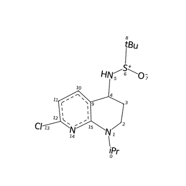 CC(C)N1CCC(N[S+]([O-])C(C)(C)C)c2ccc(Cl)nc21